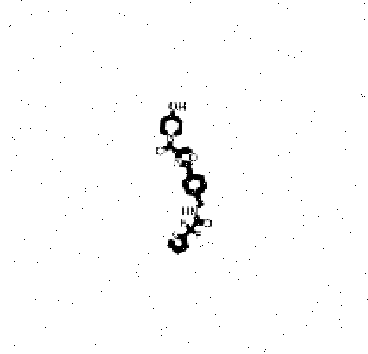 O=C(c1coc(-c2ccc(CNC(=O)C(F)(F)c3cccs3)cc2)n1)N1CCC(O)CC1